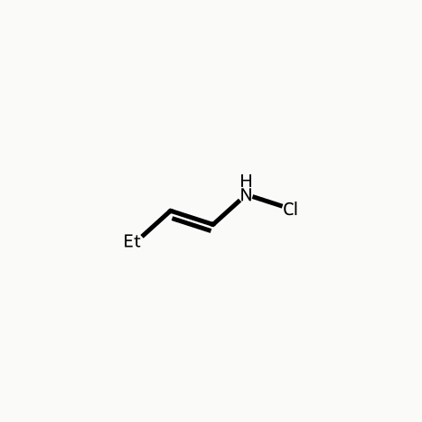 CC/C=C/NCl